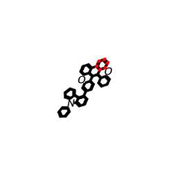 C1=CCCC(C2=CC=CC3OC4C=C(c5cccc6c5c5ccccc5n6-c5ccccc5)C=CC4C(C4C5CCCC=C5OC5C=CC=CC54)C23)=C1